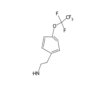 [NH]CCc1ccc(OC(F)(F)C(F)(F)F)cc1